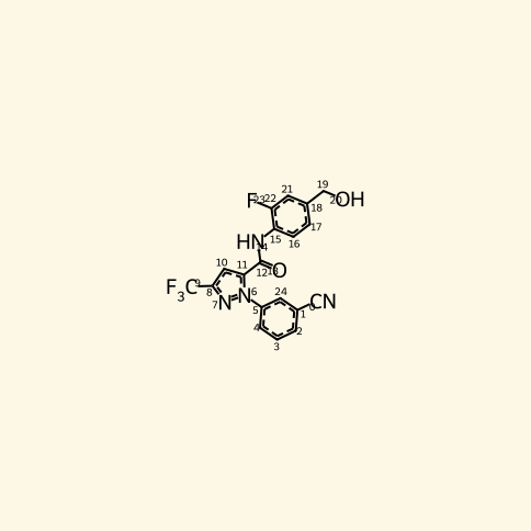 N#Cc1cccc(-n2nc(C(F)(F)F)cc2C(=O)Nc2ccc(CO)cc2F)c1